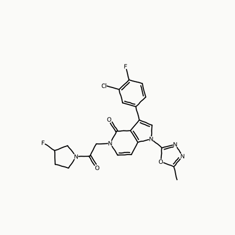 Cc1nnc(-n2cc(-c3ccc(F)c(Cl)c3)c3c(=O)n(CC(=O)N4CCC(F)C4)ccc32)o1